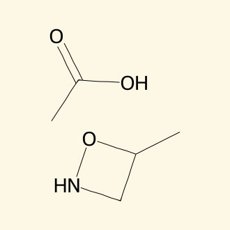 CC(=O)O.CC1CNO1